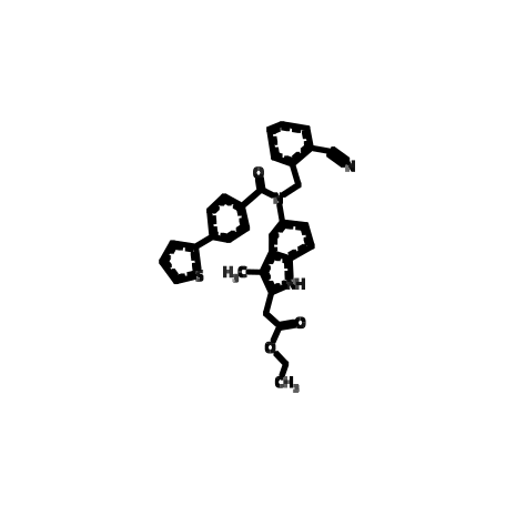 CCOC(=O)Cc1[nH]c2ccc(N(Cc3ccccc3C#N)C(=O)c3ccc(-c4cccs4)cc3)cc2c1C